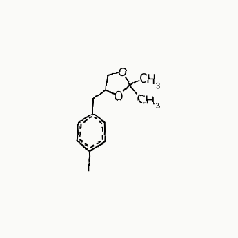 CC1(C)OCC(Cc2ccc(I)cc2)O1